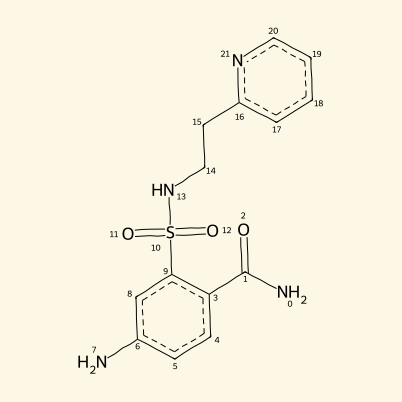 NC(=O)c1ccc(N)cc1S(=O)(=O)NCCc1ccccn1